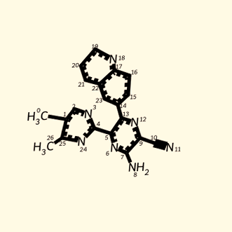 Cc1cnc(-c2nc(N)c(C#N)nc2-c2ccc3ncccc3c2)nc1C